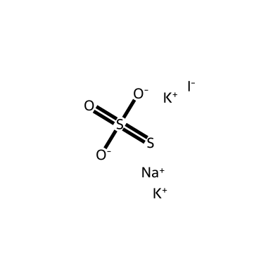 O=S([O-])([O-])=S.[I-].[K+].[K+].[Na+]